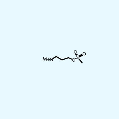 CNCCCOS(C)(=O)=O